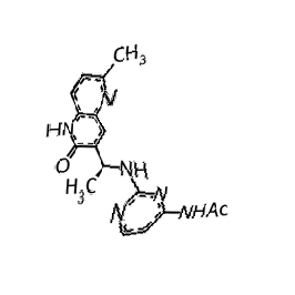 CC(=O)Nc1ccnc(N[C@@H](C)c2cc3nc(C)ccc3[nH]c2=O)n1